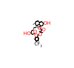 C[C@H]1C=CC2=C[C@@H](O)C[C@H](OC(=O)C(C)(C)OCc3ccc(C(F)(F)F)cc3)[C@@H]2[C@H]1CC[C@@H]1C[C@@H](O)CC(=O)O1